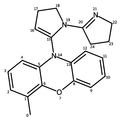 Cc1cccc2c1Oc1ccccc1N2C1=CCCN1C1=NCCC1